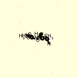 CNS(=O)(=O)c1ccc(CNC(=O)N2CC3(CCCC3)c3cc(-c4cc(C#N)ccc4C)ccc32)cc1